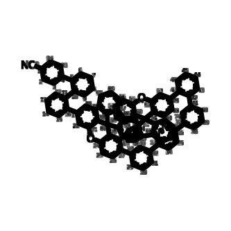 N#Cc1ccc(-c2ccccc2-c2ccccc2-c2ccc3c(c2)Oc2ccc(-c4cccc(-c5ccc(-c6cccc(-c7ccccc7-c7ccc8c(c7)Oc7ccccc7C87c8ccccc8-c8ccccc87)c6)nn5)c4)cc2C32c3ccccc3-c3ccccc32)cc1